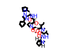 CC[C@H](C)[C@@H]([C@@H](CC(=O)N1CCC[C@H]1[C@H](OC)[C@@H](C)C(=O)N[C@@H](Cc1ccccc1)c1nc(-c2ccccc2)c[nH]1)OC)N(C)C(=O)[C@@H](NC(=O)[C@@H]1[C@H]2CC[C@H](C2)N1C)C(C)C